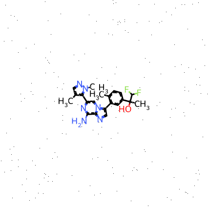 Cc1ccc(C(C)(O)C(F)F)cc1-c1cnc2c(N)nc(-c3c(C)cnn3C)cn12